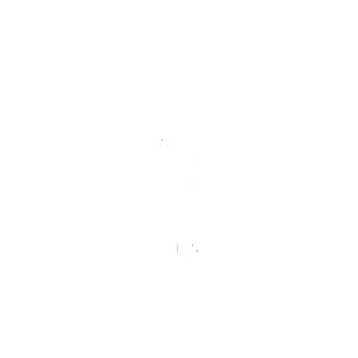 C=C(S/C=C\N)C(C)=O